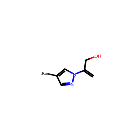 C=C(CO)n1cc(C(C)(C)C)cn1